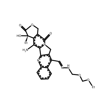 CCOCOCN/N=C/c1c2c(nc3ccccc13)-c1c(N)c3c(c(=O)n1C2)COC(=O)[C@]3(O)CC